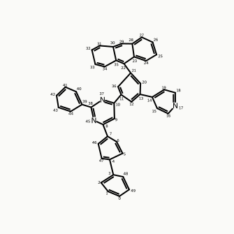 c1ccc(-c2ccc(-c3cc(-c4cc(-c5ccncc5)cc(-c5c6ccccc6cc6ccccc56)c4)nc(-c4ccccc4)n3)cc2)cc1